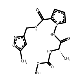 Cc1cc(CNC(=O)c2cccn2NC(=O)[C@H](C)NC(=O)OC(C)(C)C)no1